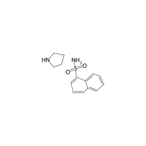 C1CCNC1.NS(=O)(=O)c1cccc2ccccc12